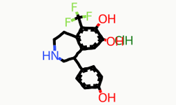 Cl.Oc1ccc(C2CNCCc3c2cc(O)c(O)c3C(F)(F)F)cc1